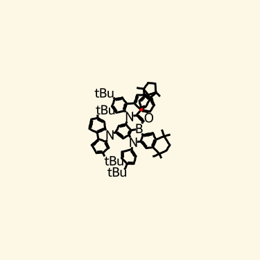 CC(C)(C)c1ccc(N2c3cc4c(cc3B3c5oc6cc7c(cc6c5N(c5ccc(C(C)(C)C)cc5-c5ccccc5)c5cc(-n6c8cc(C(C)(C)C)ccc8c8ccc(C(C)(C)C)cc86)cc2c53)C2(C)CCC7(C)C2)C(C)(C)CCC4(C)C)cc1